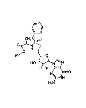 CC(C)OC(=O)C(C)NP(=O)(OC[C@H]1O[C@@H](n2cnc3c(=O)[nH]c(N)nc32)[C@@](F)(Cl)[C@@H]1O)Oc1ccccc1